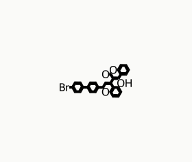 O=C(/C=C(\c1ccccc1)c1c(O)c2ccccc2oc1=O)c1ccc(-c2ccc(Br)cc2)cc1